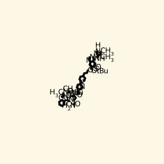 Cc1[nH]nc(Nc2ncnc3cc(OCCCC4CCN(c5ccc(C(=O)N[C@H]6C[C@@H](C(N)=O)N(C(=O)C(NC(=O)[C@H](C)N(C)C(=O)OC(C)(C)C)C7CCCCC7)C6)cn5)CC4)c(S(=O)(=O)C(C)(C)C)cc23)c1C